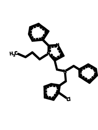 CCCCn1c(CN(Cc2ccccc2)Cc2ccccc2Cl)cnc1-c1ccccc1